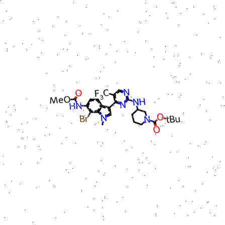 COC(=O)Nc1ccc2c(-c3nc(NC4CCCN(C(=O)OC(C)(C)C)C4)ncc3C(F)(F)F)cn(C)c2c1Br